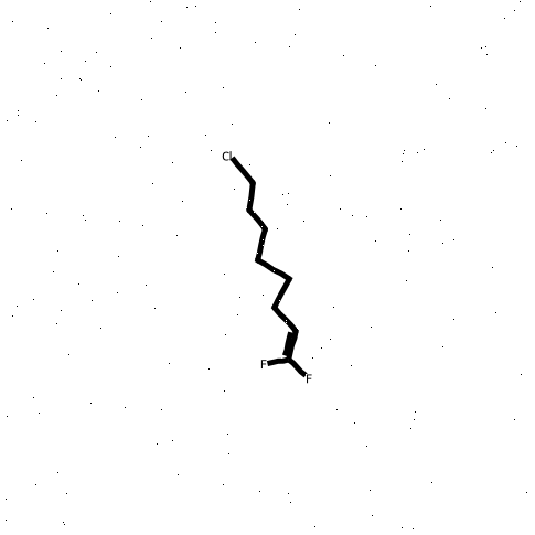 FC(F)=CCCCCCCCl